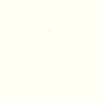 c1ccc(Nc2cc3c4ccccc4oc3c3ccccc23)cc1